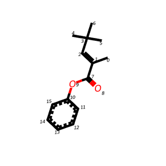 CC(=CC(C)(C)C)C(=O)Oc1ccccc1